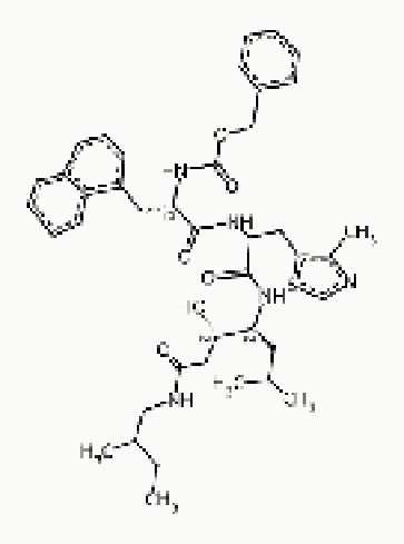 CCC(C)CNC(=O)C[C@H](O)[C@H](CC(C)C)NC(=O)C(Cc1scnc1C)NC(=O)[C@H](Cc1cccc2ccccc12)NC(=O)OCc1ccccc1